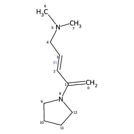 C=C(/C=C/CN(C)C)N1CCCC1